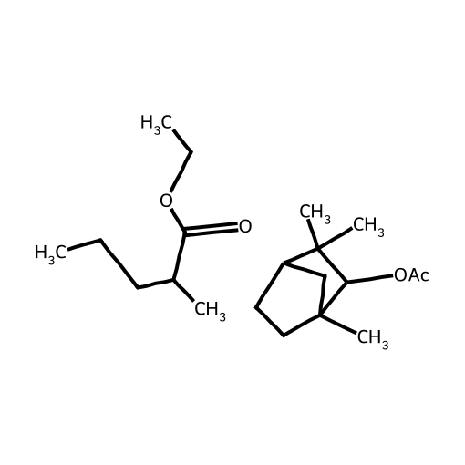 CC(=O)OC1C2(C)CCC(C2)C1(C)C.CCCC(C)C(=O)OCC